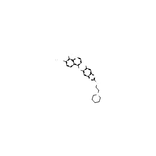 COc1ccc2c(Oc3cc4sc(NCCN5CCCCC5)nc4cc3F)ccnc2c1OC